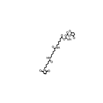 CCCC(OC(=O)CCCCCNC(=O)CCCCCNC(=O)CCCCCN1C(=O)C=CC1=O)OC(=O)ON1C(=O)CCC1=O